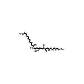 CCCC/C=C\CCCCCCCC(=O)N[C@@H](CCCCNC(=O)CCCCCCCCCCCCCCCCC)C(C)C